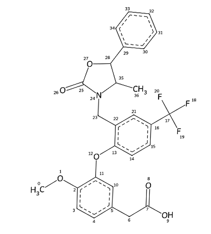 COc1ccc(CC(=O)O)cc1Oc1ccc(C(F)(F)F)cc1CN1C(=O)OC(c2ccccc2)C1C